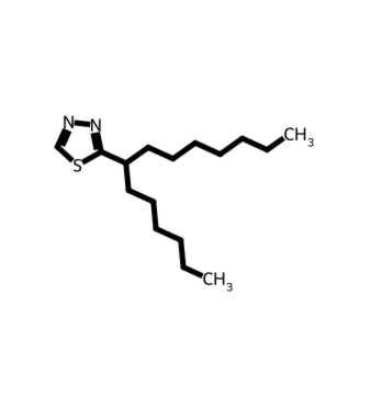 CCCCCCCC(CCCCCC)c1nncs1